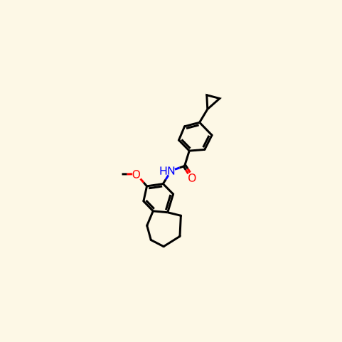 COc1cc2c(cc1NC(=O)c1ccc(C3CC3)cc1)CCCCC2